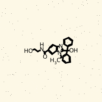 CCn1c(C(O)(c2ccccc2)c2ccccc2)nc2ccc(C(=O)NCCO)cc21